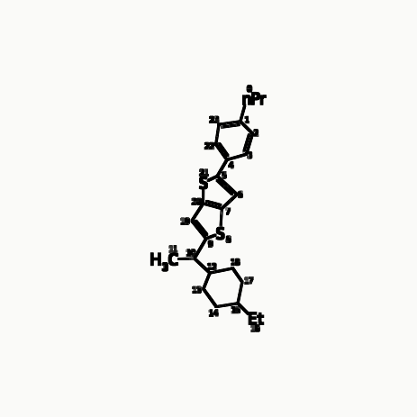 CCCc1ccc(-c2cc3sc(C(C)C4CCC(CC)CC4)cc3s2)cc1